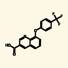 O=C(O)c1cnc2c(Oc3ccc(C(F)(F)F)cc3)cccc2c1